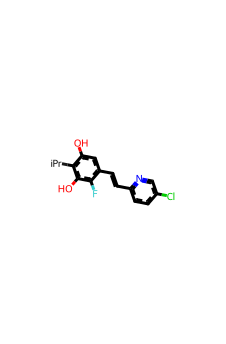 CC(C)c1c(O)cc(/C=C/c2ccc(Cl)cn2)c(F)c1O